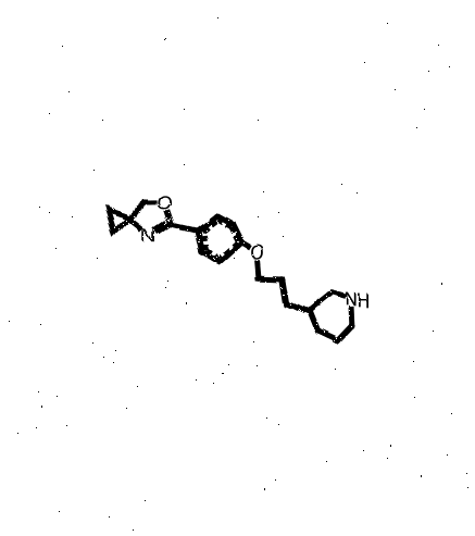 c1cc(C2=NC3(CC3)CO2)ccc1OCCCC1CCCNC1